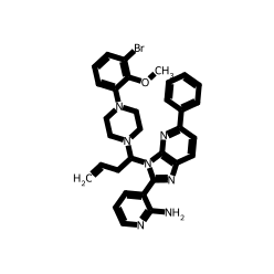 C=CCC(N1CCN(c2cccc(Br)c2OC)CC1)n1c(-c2cccnc2N)nc2ccc(-c3ccccc3)nc21